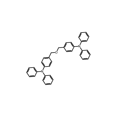 c1ccc(N(c2ccccc2)c2ccc(COCc3ccc(N(c4ccccc4)c4ccccc4)cc3)cc2)cc1